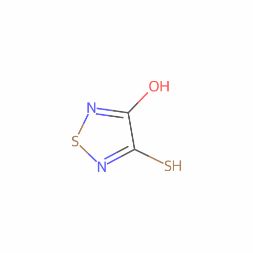 Oc1nsnc1S